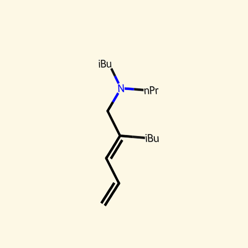 C=C/C=C(/CN(CCC)C(C)CC)C(C)CC